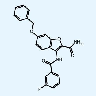 NC(=O)c1oc2cc(OCc3ccccc3)ccc2c1NC(=O)c1cccc(F)c1